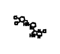 Clc1cnc2[nH]cc(-c3cccc(NCc4ccc(Cl)c(Cl)c4)n3)c2n1